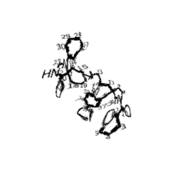 O=C(c1ccco1)N1CCC(CCCN2CCC3(CC2)C(=O)NCN3c2ccccc2)(c2cccc(Cl)c2)C1